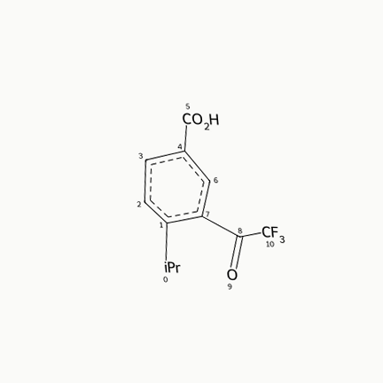 CC(C)c1ccc(C(=O)O)cc1C(=O)C(F)(F)F